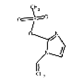 C=Cn1ccnc1OS(C)(=O)=O